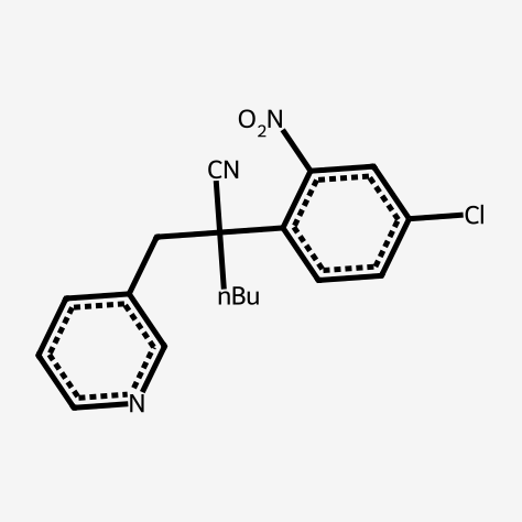 CCCCC(C#N)(Cc1cccnc1)c1ccc(Cl)cc1[N+](=O)[O-]